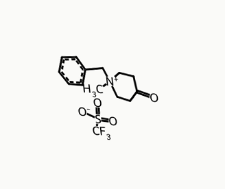 C[N+]1(Cc2ccccc2)CCC(=O)CC1.O=S(=O)([O-])C(F)(F)F